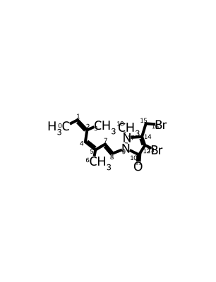 C\C=C(C)/C=C(C)\C=C\n1c(=O)c(Br)c(CBr)n1C